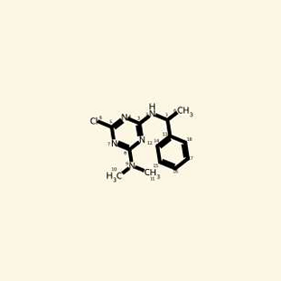 CC(Nc1nc(Cl)nc(N(C)C)n1)c1ccccc1